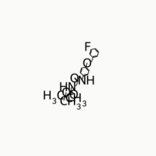 CC(C)(C)OC(=O)NCC(=O)Nc1ccc(OCc2cccc(F)c2)cc1